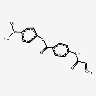 C=CC(=O)Nc1ccc(C(=O)Oc2ccc(B(O)O)cc2)cc1